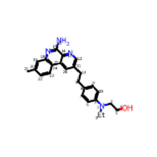 CCN(CCO)c1ccc(CCc2cnc3c(N)nc4cc(C)ccc4c3c2)cc1